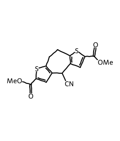 COC(=O)c1cc2c(s1)CCc1sc(C(=O)OC)cc1C2C#N